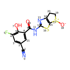 N#Cc1cc(F)c(O)c(C(=O)Nc2nc3c(s2)[S+]([O-])CC3)c1